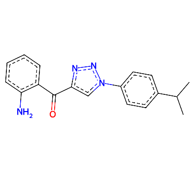 CC(C)c1ccc(-n2cc(C(=O)c3ccccc3N)nn2)cc1